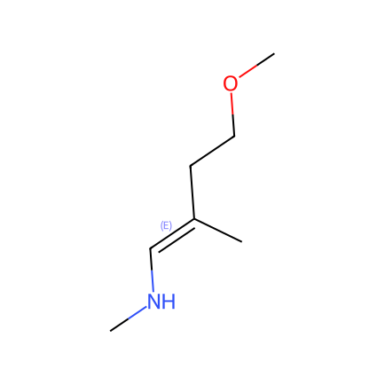 CN/C=C(\C)CCOC